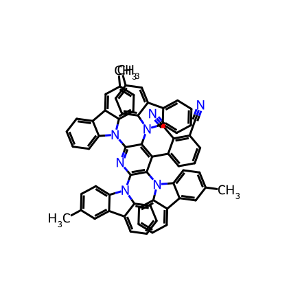 Cc1ccc2c(c1)c1ccccc1n2-c1nc(-n2c3ccccc3c3cc(C)ccc32)c(-n2c3ccccc3c3cc(C)ccc32)c(-c2cccc(C#N)c2C#N)c1-n1c2ccccc2c2cc(C)ccc21